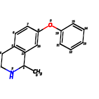 CC1NCCc2ccc(Oc3ccccc3)cc21